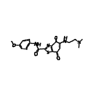 COc1ccc(NC(=O)c2nc3c(s2)C(=O)C=C(NCCN(C)C)C3=O)cc1